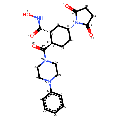 O=C(NO)[C@@H]1C[C@H](N2C(=O)CCC2=O)CC[C@H]1C(=O)N1CCN(c2ccccc2)CC1